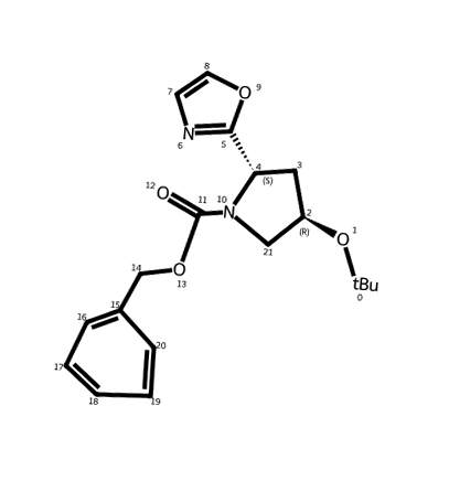 CC(C)(C)O[C@@H]1C[C@@H](c2ncco2)N(C(=O)OCc2ccccc2)C1